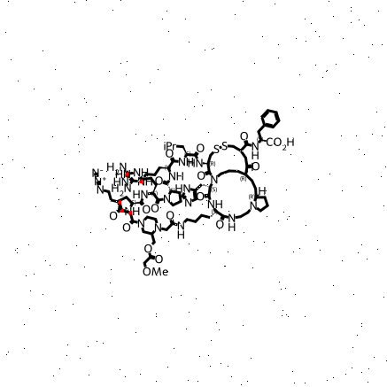 COCC(=O)OCC1CN(C(=O)CCCCCN=[N+]=[N-])CCN1CC(=O)NCCCC[C@@H]1NC(=O)[C@H](Cc2cnc[nH]2)N2CCC[C@H](CC[C@@H]3CCCN3CCNC1=O)C(=O)CC(C(=O)N[C@@H](Cc1ccccc1)C(=O)O)CSSC[C@H](NC(=O)[C@H](CC(C)C)NC(=O)[C@H](CCCNC(=N)N)NC(=O)[C@@H]1CCCN1C(=O)[C@H](CCCNC(=N)N)NC(=O)[C@@H]1CCC(=O)N1)C2=O